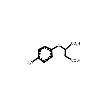 O=C(O)CC(Oc1ccc([N+](=O)[O-])cc1)C(=O)O